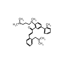 Cc1ccccc1-c1ccc(N(C)CCCN(C)C)c(C(=O)C=Cc2ccccc2CN(C)C)c1